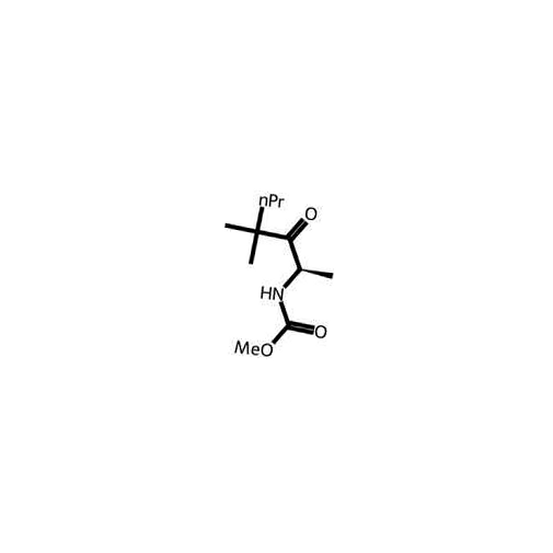 CCCC(C)(C)C(=O)[C@@H](C)NC(=O)OC